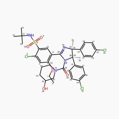 CCOc1cc(Cl)c(S(=O)(=O)NC(C)(C)C)cc1C1=N[C@@](C)(c2ccc(Cl)cc2)[C@@](C)(c2ccc(Cl)cc2)N1C(=O)N1CCCC(O)C1